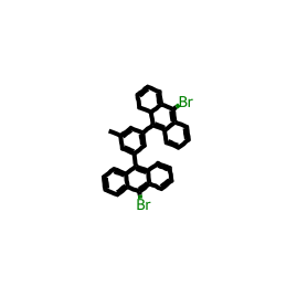 Cc1cc(C2=c3ccccc3=C(Br)C3=CC=CCC32)cc(-c2c3ccccc3c(Br)c3ccccc23)c1